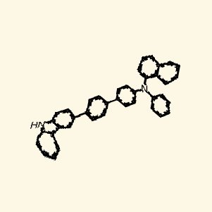 c1ccc(N(c2ccc(-c3ccc(-c4ccc5[nH]c6ccccc6c5c4)cc3)cc2)c2cccc3ccccc23)cc1